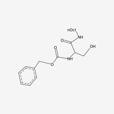 CCCCCCCCNC(=O)C(CO)NC(=O)OCc1ccccc1